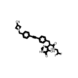 N#CC1CN(Cc2ccc(C#Cc3ccc(CC(C(=O)NCC(F)F)c4nc[nH]c(=O)c4O)cc3)cc2)C1